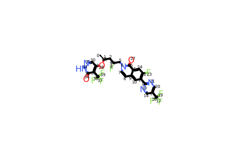 C[C@@H](C[C@@H](F)Cn1ccc2cc(-c3ncc(C(F)(F)F)cn3)c(F)cc2c1=O)Oc1cn[nH]c(=O)c1C(F)(F)F